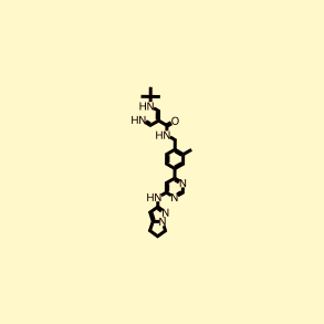 Cc1cc(-c2cc(Nc3cc4n(n3)CCC4)ncn2)ccc1CNC(=O)/C(C=N)=C/NC(C)(C)C